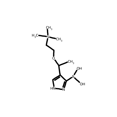 CC(OCC[Si](C)(C)C)c1c[nH]nc1B(O)O